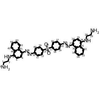 NCCNc1ccc(N=Nc2ccc(S(=O)(=O)c3ccc(N=Nc4ccc(NCCN)c5ccccc45)cc3)cc2)c2ccccc12